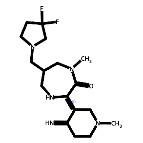 CN1CCC(=N)/C(=C2\NCC(CN3CCC(F)(F)C3)CN(C)C2=O)C1